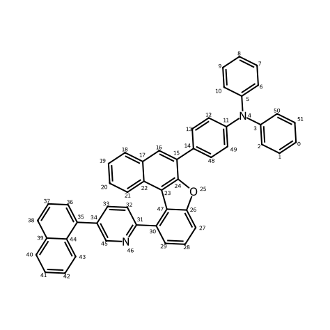 c1ccc(N(c2ccccc2)c2ccc(-c3cc4ccccc4c4c3oc3cccc(-c5ccc(-c6cccc7ccccc67)cn5)c34)cc2)cc1